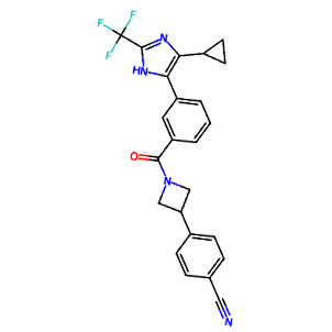 N#Cc1ccc(C2CN(C(=O)c3cccc(-c4[nH]c(C(F)(F)F)nc4C4CC4)c3)C2)cc1